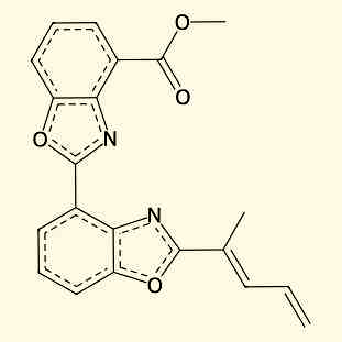 C=C/C=C(\C)c1nc2c(-c3nc4c(C(=O)OC)cccc4o3)cccc2o1